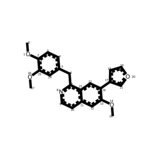 COc1ccc(Cc2nccc3cc(OC)c(-c4ccoc4)cc23)cc1OC